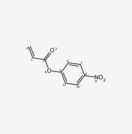 C=CC(=O)Oc1ccc([N+](=O)[O-])cc1